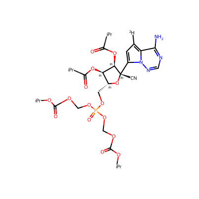 [2H]c1cc([C@]2(C#N)O[C@H](COP(=O)(OCOC(=O)OC(C)C)OCOC(=O)OC(C)C)[C@@H](OC(=O)C(C)C)[C@H]2OC(=O)C(C)C)n2ncnc(N)c12